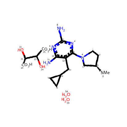 CN[C@@H]1CCN(c2nc(N)nc(N)c2CC2CC2)C1.O.O.O=C(O)C(O)C(O)C(=O)O